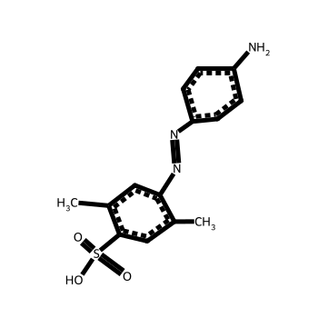 Cc1cc(S(=O)(=O)O)c(C)cc1N=Nc1ccc(N)cc1